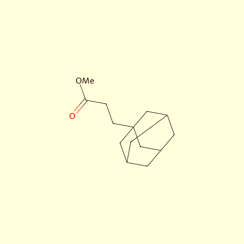 COC(=O)CCC12CC3CC(CC(C3)C1)C2